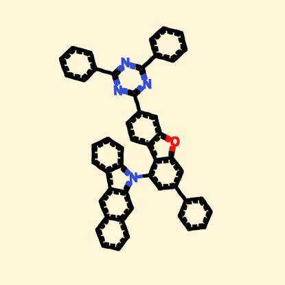 c1ccc(-c2cc(-n3c4ccccc4c4cc5ccccc5cc43)c3c(c2)oc2cc(-c4nc(-c5ccccc5)nc(-c5ccccc5)n4)ccc23)cc1